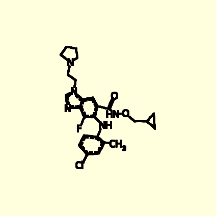 Cc1cc(Cl)ccc1Nc1c(C(=O)NOCC2CC2)cc2c(ncn2CCN2CCCC2)c1F